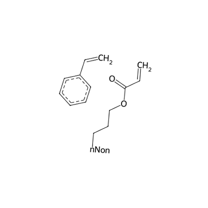 C=CC(=O)OCCCCCCCCCCCC.C=Cc1ccccc1